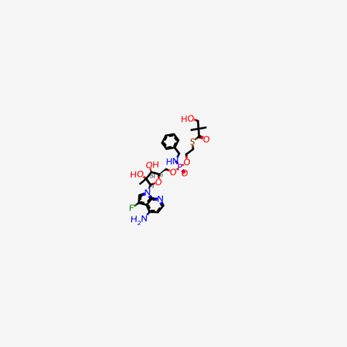 CC(C)(CO)C(=O)SCCOP(=O)(NCc1ccccc1)OC[C@H]1O[C@@H](n2cc(F)c3c(N)ccnc32)C(C)(O)[C@H]1O